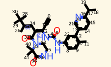 C#C/C(NC(=O)Nc1ccc(C)c(-c2ccc(C(C)C)nc2)c1)=C(\C=C(/C)C(C)(C)C)C(=O)N1CCNC(=O)C1(C)C